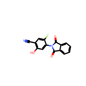 N#Cc1cc(F)c(N2C(=O)c3ccccc3C2=O)cc1O